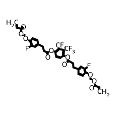 C=CC(=O)OCOc1ccc(CCC(=O)Oc2ccc(OC(=O)CCc3ccc(OCOC(=O)C=C)c(F)c3)c(C(F)(F)F)c2C(F)(F)F)cc1F